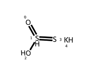 O=[SH](O)=S.[KH]